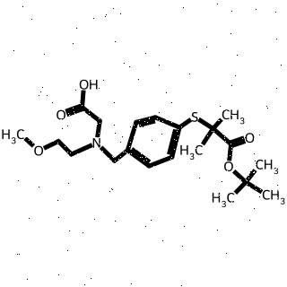 COCCN(CC(=O)O)Cc1ccc(SC(C)(C)C(=O)OC(C)(C)C)cc1